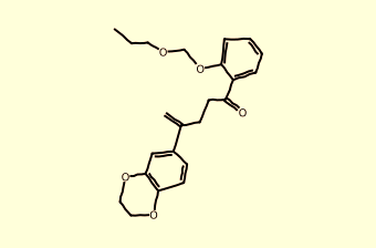 C=C(CCC(=O)c1ccccc1OCOCCC)c1ccc2c(c1)OCCO2